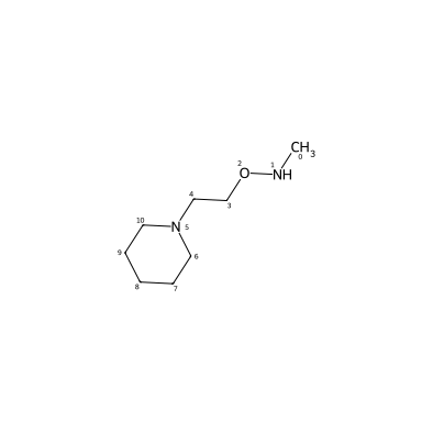 CNOCCN1CCCCC1